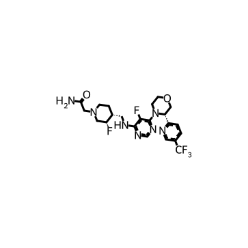 NC(=O)CN1CC[C@H](CNc2ncnc(N3CCOC[C@@H]3c3ccc(C(F)(F)F)cn3)c2F)[C@H](F)C1